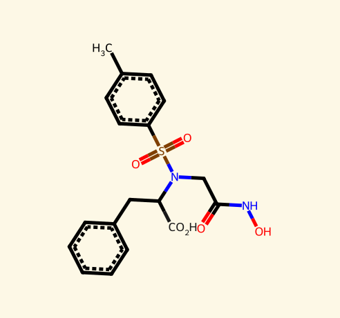 Cc1ccc(S(=O)(=O)N(CC(=O)NO)C(Cc2ccccc2)C(=O)O)cc1